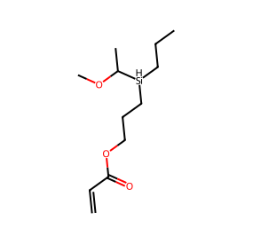 C=CC(=O)OCCC[SiH](CCC)C(C)OC